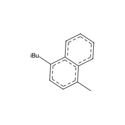 CCC(C)c1ccc(C)c2ccccc12